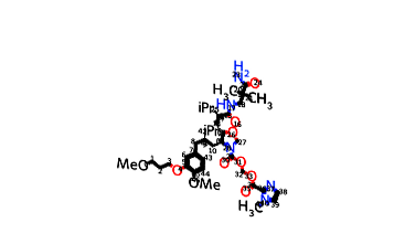 COCCCOc1cc(C[C@@H](C[C@H]2[C@H](C[C@H](C(=O)NCC(C)(C)C(N)=O)C(C)C)OCN2C(=O)OCOC(=O)c2nccn2C)C(C)C)ccc1OC